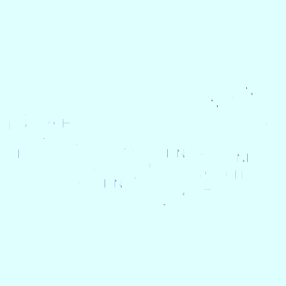 CNc1c(C(=O)Nc2cc(NC(=O)c3ccc(C(C)(C)C)s3)ccc2C)cnc2[nH]ccc12